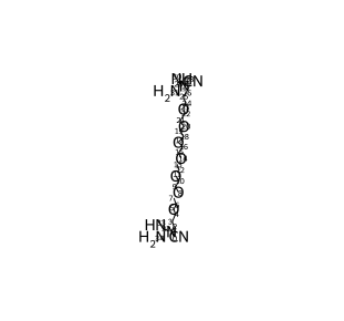 N#CN(CCCOCCOCCOCCOCCOCCOCCOCCCN(C#N)C(=N)N)C(=N)N